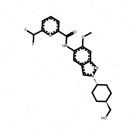 COc1cc2nn([C@H]3CC[C@H](CO)CC3)cc2cc1NC(=O)c1cccc(C(F)F)n1